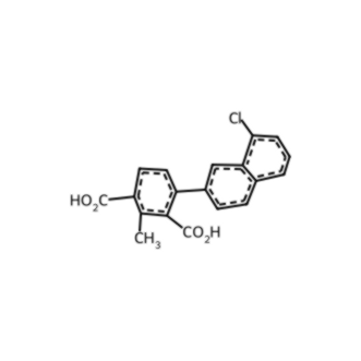 Cc1c(C(=O)O)ccc(-c2ccc3cccc(Cl)c3c2)c1C(=O)O